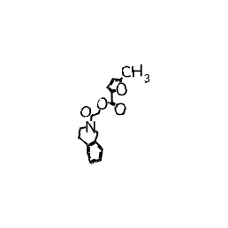 Cc1ccc(C(=O)OCC(=O)N2CCc3ccccc3C2)o1